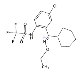 CCO/N=C(/c1cc(Cl)ccc1NS(=O)(=O)C(F)(F)F)C1CCCCC1